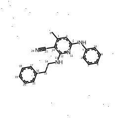 Cc1cc(Nc2ccccc2)nc(NCCc2ccccc2)c1C#N